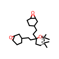 C[Si]1(C)CCC(CCC2CCC3OC3C2)(CCC2CCC3OC3C2)O[Si]1(C)C